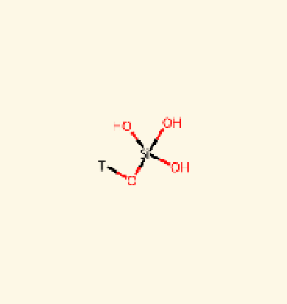 O[Si](O)(O)[O][Ti]